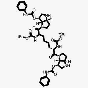 CC(C)(C)OC(=O)NC(CCCC[C@H](NC(=O)OC(C)(C)C)C(=O)N1CC[C@H]2NC[C@H](OC(=O)Nc3ccccc3)[C@H]21)C(=O)N1CC[C@H]2NC[C@H](OC(=O)Nc3ccccc3)[C@H]21